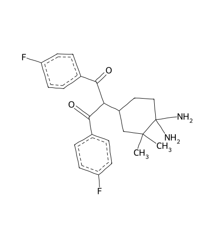 CC1(C)CC(C(C(=O)c2ccc(F)cc2)C(=O)c2ccc(F)cc2)CCC1(N)N